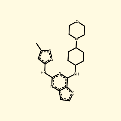 Cc1cc(Nc2nc(NC3CCC(N4CCOCC4)CC3)c3sccc3n2)sn1